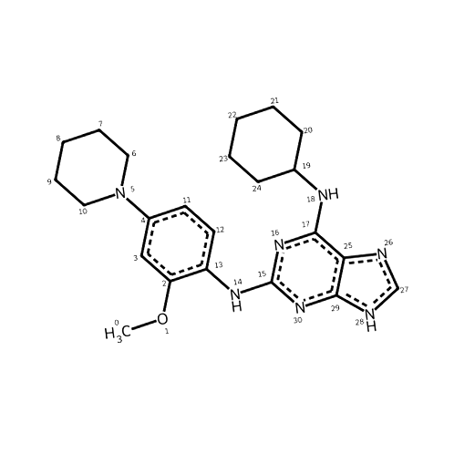 COc1cc(N2CCCCC2)ccc1Nc1nc(NC2CCCCC2)c2nc[nH]c2n1